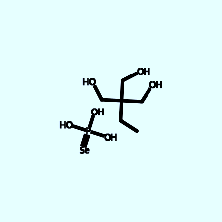 CCC(CO)(CO)CO.OP(O)(O)=[Se]